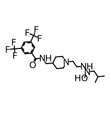 CC(C)CN(O)NCCN1CCC(CNC(=O)c2cc(C(F)(F)F)cc(C(F)(F)F)c2)CC1